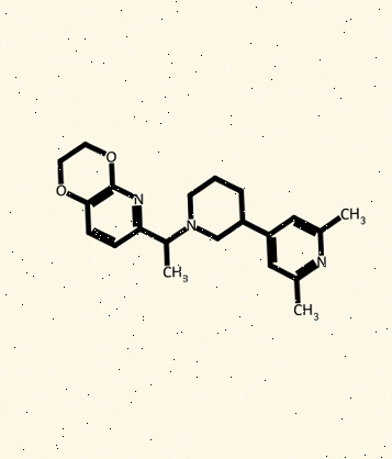 Cc1cc(C2CCCN(C(C)c3ccc4c(n3)OCCO4)C2)cc(C)n1